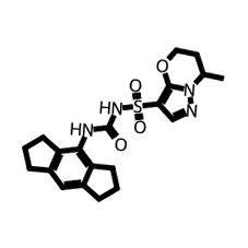 CC1CCOc2c(S(=O)(=O)NC(=O)Nc3c4c(cc5c3CCC5)CCC4)cnn21